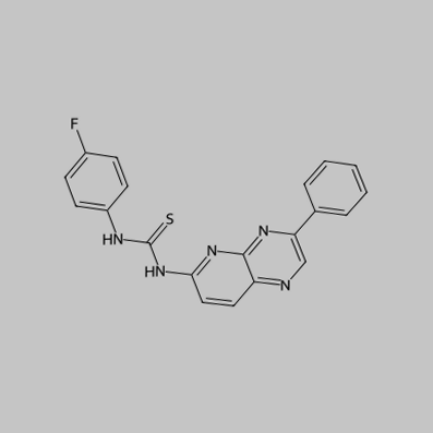 Fc1ccc(NC(=S)Nc2ccc3ncc(-c4ccccc4)nc3n2)cc1